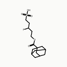 O=C(OCCC(F)CCS(=O)(=O)O)C12CC3CC(CC(C3)C1)C2